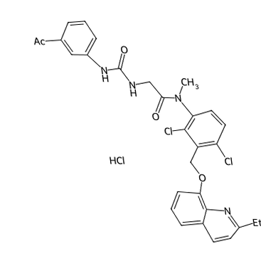 CCc1ccc2cccc(OCc3c(Cl)ccc(N(C)C(=O)CNC(=O)Nc4cccc(C(C)=O)c4)c3Cl)c2n1.Cl